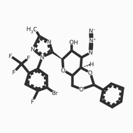 Cc1nc([C@@H]2OC3COC(c4ccccc4)O[C@@H]3C(N=[N+]=[N-])C2O)n(-c2cc(Br)c(F)cc2C(F)(F)F)n1